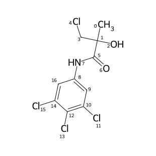 CC(O)(CCl)C(=O)Nc1cc(Cl)c(Cl)c(Cl)c1